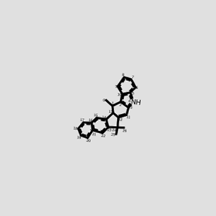 CC1c2c([nH]c3ccccc23)C=C2C1c1cc3ccccc3cc1C2(C)C